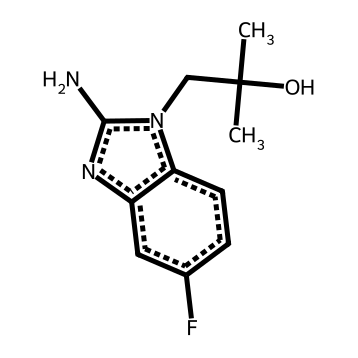 CC(C)(O)Cn1c(N)nc2cc(F)ccc21